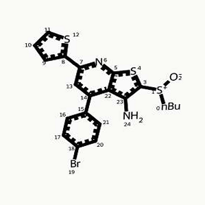 CCCC[S+]([O-])c1sc2nc(-c3cccs3)cc(-c3ccc(Br)cc3)c2c1N